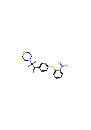 CC(C)(C(=O)c1ccc(Sc2ccccc2[N+](=O)[O-])cc1)N1CCOCC1